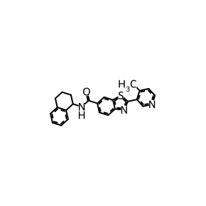 Cc1ccncc1-c1nc2ccc(C(=O)NC3CCCc4ccccc43)cc2s1